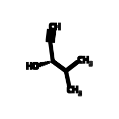 C#C[C@@H](O)C(C)C